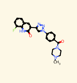 CN1CCN(C(=O)c2ccc(-n3cc(-c4cc5cccc(F)c5[nH]c4=O)nn3)cc2)CC1